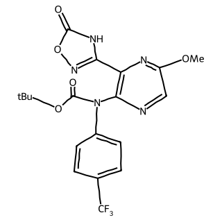 COc1cnc(N(C(=O)OC(C)(C)C)c2ccc(C(F)(F)F)cc2)c(-c2noc(=O)[nH]2)n1